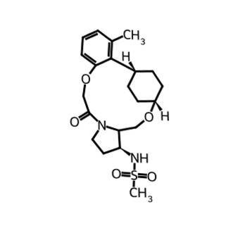 Cc1cccc2c1[C@H]1CC[C@H](CC1)OCC1[C@@H](NS(C)(=O)=O)CCN1C(=O)CO2